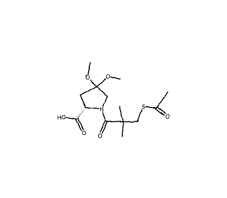 COC1(OC)C[C@@H](C(=O)O)N(C(=O)C(C)(C)CSC(C)=O)C1